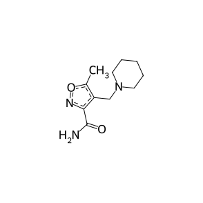 Cc1onc(C(N)=O)c1CN1CCCCC1